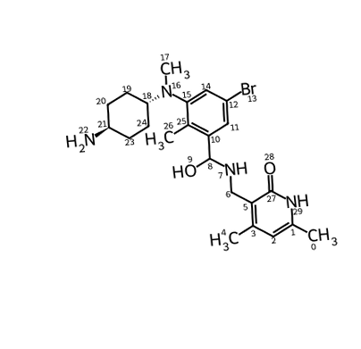 Cc1cc(C)c(CNC(O)c2cc(Br)cc(N(C)[C@H]3CC[C@H](N)CC3)c2C)c(=O)[nH]1